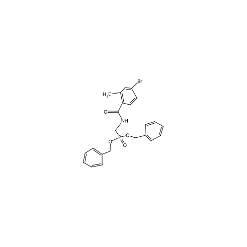 Cc1cc(Br)ccc1C(=O)NCP(=O)(OCc1ccccc1)OCc1ccccc1